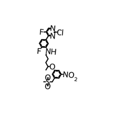 CC(CCCNc1cc(-c2nc(Cl)ncc2F)ccc1F)Oc1cc(CS(C)(=O)=O)cc([N+](=O)[O-])c1